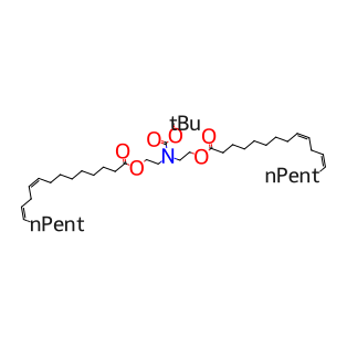 CCCCC/C=C\C/C=C\CCCCCCCC(=O)OCCN(CCOC(=O)CCCCCCC/C=C\C/C=C\CCCCC)C(=O)OC(C)(C)C